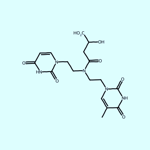 Cc1cn(CCN(CCn2ccc(=O)[nH]c2=O)C(=O)CC(O)C(=O)O)c(=O)[nH]c1=O